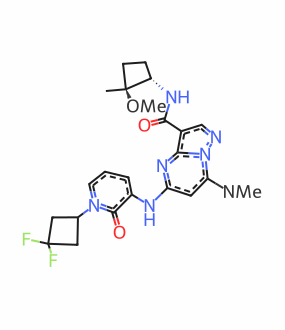 CNc1cc(Nc2cccn(C3CC(F)(F)C3)c2=O)nc2c(C(=O)N[C@H]3CC[C@]3(C)OC)cnn12